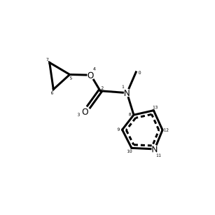 CN(C(=O)OC1CC1)c1ccncc1